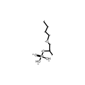 CCCCOCC(C)OP(=O)(O)O